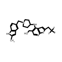 Cc1cc2cc(CN3CCC(Nc4c(CO)cnc5sc(CC(F)(F)F)cc45)CC3)ccc2[nH]1